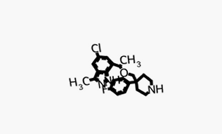 Cc1n[nH]c2c(C(C)OCC3(c4ccc(F)cc4)CCNCC3)cc(Cl)cc12